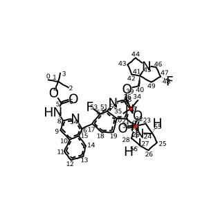 CC(C)(C)OC(=O)Nc1cc2ccccc2c(-c2ccc3c(N4C[C@H]5CC[C@@H](C4)N5C(=O)OC(C)(C)C)nc(OC[C@@]45CCCN4C[C@H](F)C5)nc3c2F)n1